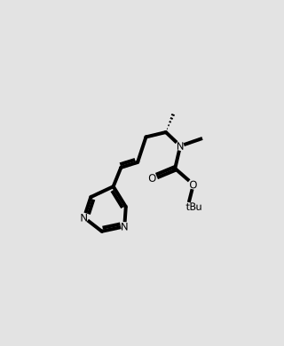 C[C@@H](C/C=C/c1cncnc1)N(C)C(=O)OC(C)(C)C